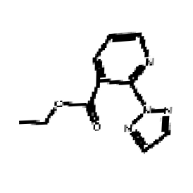 CCOC(=O)c1cccnc1-n1nccn1